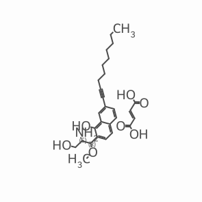 CCCCCCCCC#Cc1ccc2ccc([C@@H](OC)[C@@H](N)CO)c(O)c2c1.O=C(O)C=CC(=O)O